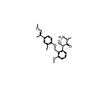 CO/N=C(\C)c1ccc(OCc2c(OC)cccc2N(N)C(=O)N(C)N)c(F)c1